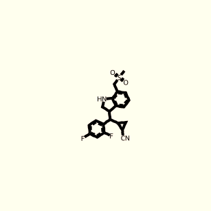 CS(=O)(=O)Cc1cccc2c1NCC2C(c1ccc(F)cc1F)C1CC1C#N